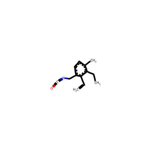 C=Cc1c(CN=C=O)ccc(C)c1CC